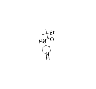 CCC(C)(C)C(=O)NC1CCNCC1